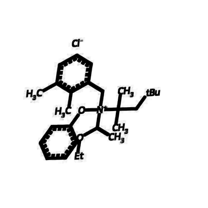 CCOC(C)[N+](Cc1cccc(C)c1C)(Oc1ccccc1)C(C)(C)CC(C)(C)C.[Cl-]